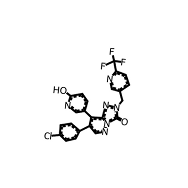 O=c1n(Cc2ccc(C(F)(F)F)nc2)nc2c(-c3ccc(O)nc3)c(-c3ccc(Cl)cc3)cnn12